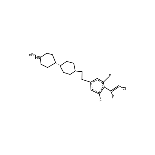 CCC[Si@H]1CC[C@H](C2CCC(CCc3cc(F)c(C(F)=CCl)c(F)c3)CC2)CC1